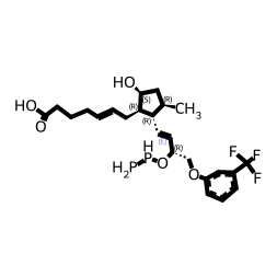 C[C@@H]1C[C@H](O)[C@H](CC=CCCCC(=O)O)[C@H]1/C=C/[C@H](COc1cccc(C(F)(F)F)c1)OPP